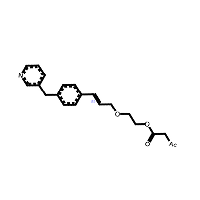 CC(=O)CC(=O)OCCOC/C=C/c1ccc(Cc2cccnc2)cc1